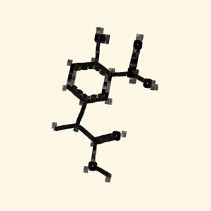 COC(=O)C(C)c1ccc(O)c([N+](=O)[O-])c1